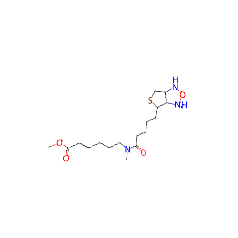 COC(=O)CCCCCN(C)C(=O)CCCCC1SCC2NONC21